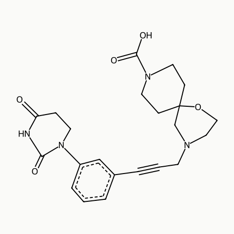 O=C1CCN(c2cccc(C#CCN3CCOC4(CCN(C(=O)O)CC4)C3)c2)C(=O)N1